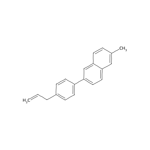 C=CCc1ccc(-c2ccc3cc(C)ccc3c2)cc1